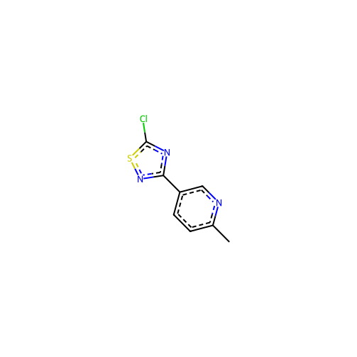 Cc1ccc(-c2nsc(Cl)n2)cn1